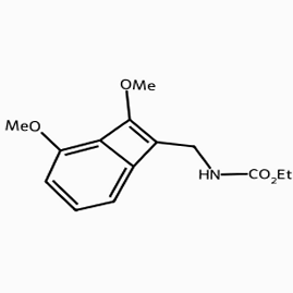 CCOC(=O)NCC1=C(OC)c2c(OC)cccc21